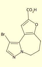 O=C(O)c1cc2c(o1)CCCn1ncc(Br)c1-2